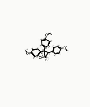 COc1ccc(C2C(Cl)(Cl)C2(c2ccc(OC)cc2)c2ccc(OC)cc2)cc1